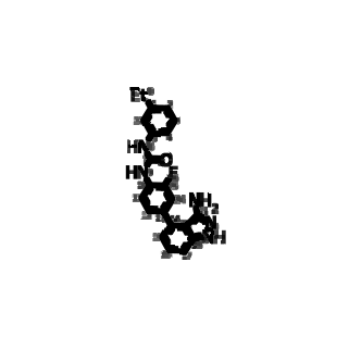 CCc1cccc(NC(=O)Nc2ccc(-c3cccc4[nH]nc(N)c34)cc2F)c1